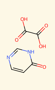 O=C(O)C(=O)O.O=c1ccnc[nH]1